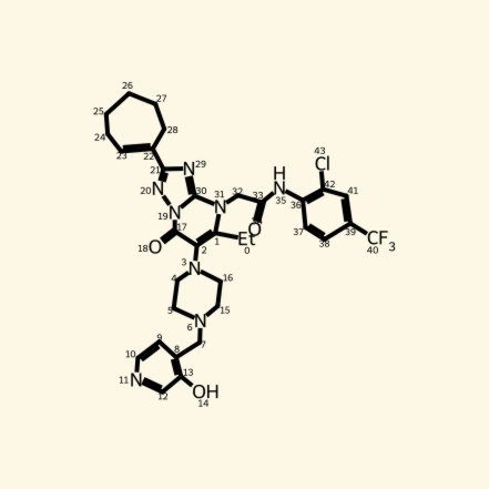 CCc1c(N2CCN(Cc3ccncc3O)CC2)c(=O)n2nc(C3=CCCCCC3)nc2n1CC(=O)Nc1ccc(C(F)(F)F)cc1Cl